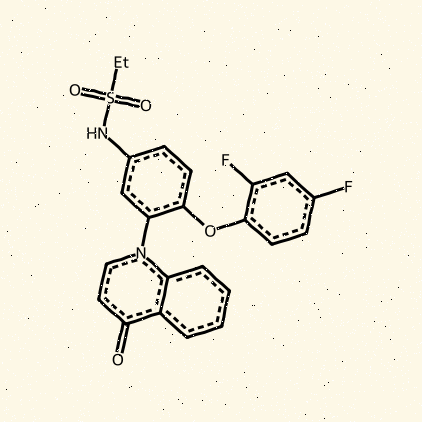 CCS(=O)(=O)Nc1ccc(Oc2ccc(F)cc2F)c(-n2ccc(=O)c3ccccc32)c1